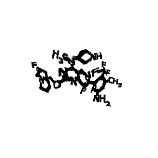 Cc1cc(N)nc(-c2ncc3c(N(C)[C@@H]4CCNC4)nc(OC[C@@]45CCCN4C[C@H](F)C5)nc3c2F)c1C(F)(F)F